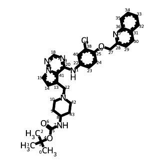 CC(C)(C)OC(=O)NC1CCN(Cc2ccn3ncnc(Nc4ccc(OCc5ccc6ccccc6n5)c(Cl)c4)c23)CC1